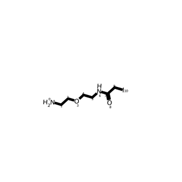 NCCOCCNC(=O)CI